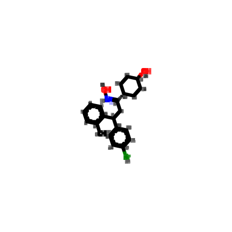 Cc1ccccc1C(C/C(=N/O)[C@H]1CC[C@H](O)CC1)c1ccc(Br)cc1